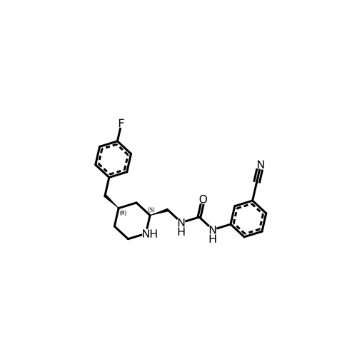 N#Cc1cccc(NC(=O)NC[C@@H]2C[C@H](Cc3ccc(F)cc3)CCN2)c1